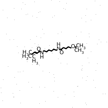 CC(C)OCCCCC(=O)NCCCCCCNC(=O)/C=C/C(C)(C)C